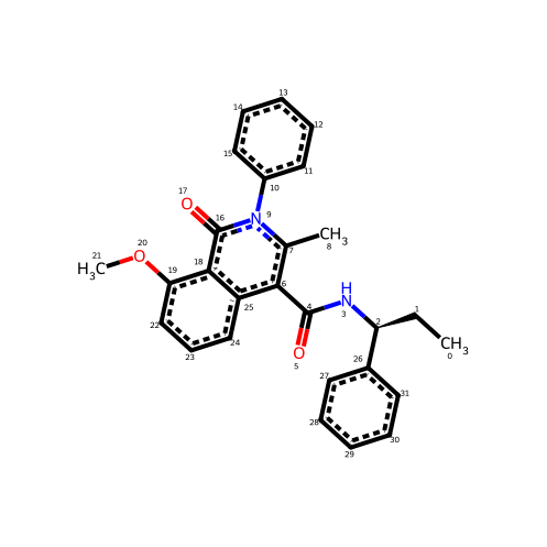 CC[C@H](NC(=O)c1c(C)n(-c2ccccc2)c(=O)c2c(OC)cccc12)c1ccccc1